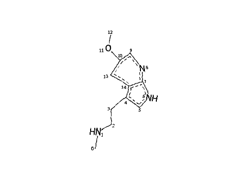 CNCCc1c[nH]c2ncc(OC)cc12